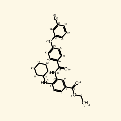 CCOC(=O)c1ccc(NC2CCCCC2)c(NC(=O)c2ccc(Oc3cccc(Br)c3)cc2)c1